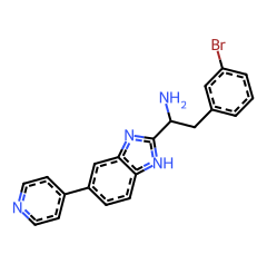 NC(Cc1cccc(Br)c1)c1nc2cc(-c3ccncc3)ccc2[nH]1